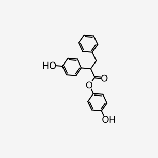 O=C(Oc1ccc(O)cc1)C(Cc1ccccc1)c1ccc(O)cc1